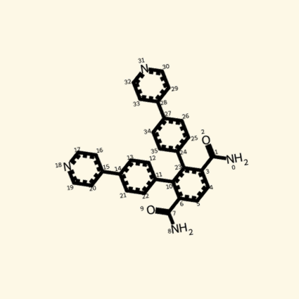 NC(=O)c1ccc(C(N)=O)c(-c2ccc(-c3ccncc3)cc2)c1-c1ccc(-c2ccncc2)cc1